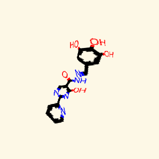 O=C(N/N=C/c1cc(O)c(O)c(O)c1)c1cnc(-c2ccccn2)nc1O